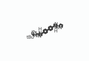 CC(C)[C@H](NC(=O)C(C)(C)C)c1ncc(-c2ccc(-c3ccc(-c4cnc([C@@H]5CCCN5)[nH]4)cc3)cc2)[nH]1